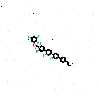 CCCc1ccc(-c2ccc(-c3ccc(-c4cc(F)c(C(F)(F)Oc5cc(F)c(F)c(F)c5)c(F)c4)c(F)c3)c(F)c2)cc1